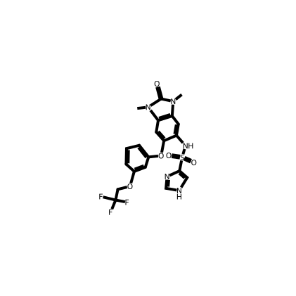 Cn1c(=O)n(C)c2cc(Oc3cccc(OCC(F)(F)F)c3)c(NS(=O)(=O)c3c[nH]cn3)cc21